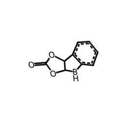 O=C1OC2Bc3ccccc3C2O1